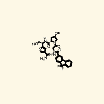 CO[C@@H]1C[C@@H](C(=O)N[C@H](CO)c2cc(C(=N)N)cs2)N(C(=O)CNC(=O)c2ccc3c(c2)-c2ccccc2C3(F)F)C1